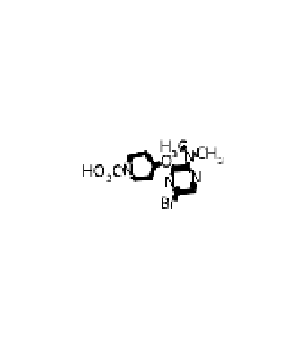 CN(C)c1ncc(Br)nc1OC1CCN(C(=O)O)CC1